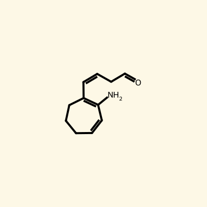 NC1=C(/C=C\CC=O)CCCC=C1